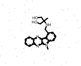 Cn1c2cccc(CNC(C)(CO)CO)c2c2nc3ccccc3nc21